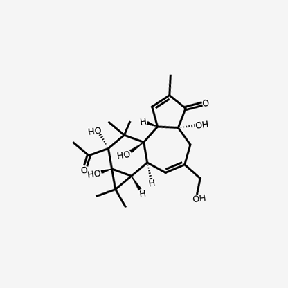 CC(=O)[C@@]1(O)C(C)(C)[C@@]2(O)[C@@H](C=C(CO)C[C@]3(O)C(=O)C(C)=C[C@@H]23)[C@@H]2C(C)(C)[C@@]21O